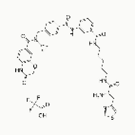 N[C@@H](Cc1cscn1)C(=O)NCCCCCNC(=O)c1cccc(NC(=O)c2ccc(CN(C(=O)c3ccc4c(c3)OCC(=O)N4)C3CC3)cc2)c1.O=C(O)C(F)(F)F